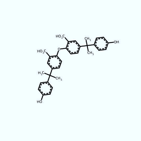 CC(C)(c1ccc(O)cc1)c1ccc(Oc2ccc(C(C)(C)c3ccc(O)cc3)cc2C(=O)O)c(C(=O)O)c1